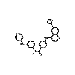 CN(C(=O)c1ccc(Nc2ccnc3ccc(C45CC(C4)C5)cc23)cc1)c1cccc(Nc2ccncc2)c1